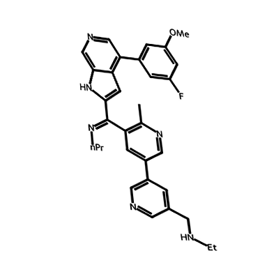 CCC/N=C(/c1cc2c(-c3cc(F)cc(OC)c3)cncc2[nH]1)c1cc(-c2cncc(CNCC)c2)cnc1C